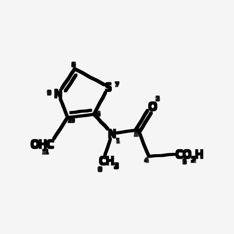 CN(C(=O)CC(=O)O)c1scnc1C=O